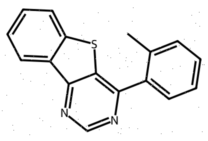 Cc1ccccc1-c1ncnc2c1sc1ccccc12